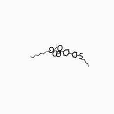 CCCCCCCCOC(=O)[C@H](C)OC(=O)c1ccc(-c2ccc(SCCCCC)cc2)cc1